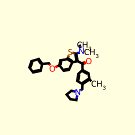 Cc1cc(C(=O)c2c(N(C)C)sc3cc(OCc4ccccc4)ccc23)ccc1CN1CCCC1